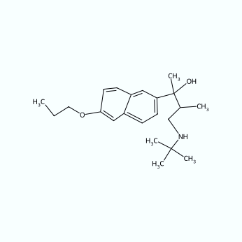 CCCOc1ccc2cc(C(C)(O)C(C)CNC(C)(C)C)ccc2c1